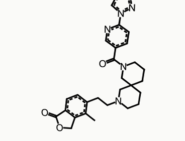 Cc1c(CCN2CCCC3(CCCN(C(=O)c4ccc(-n5cnnn5)nc4)C3)C2)ccc2c1COC2=O